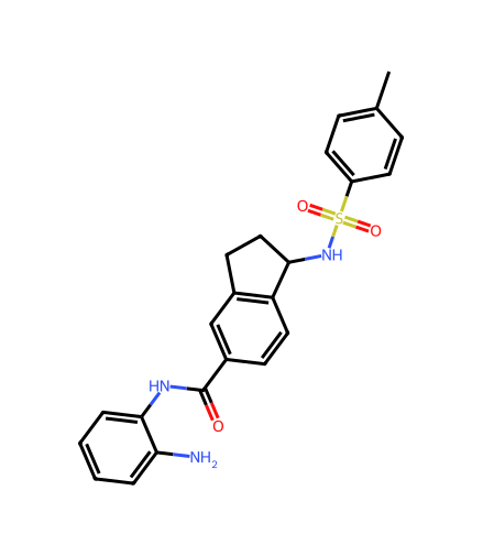 Cc1ccc(S(=O)(=O)NC2CCc3cc(C(=O)Nc4ccccc4N)ccc32)cc1